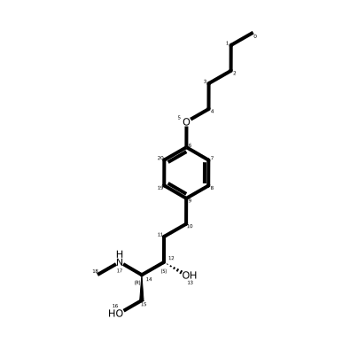 CCCCCOc1ccc(CC[C@H](O)[C@@H](CO)NC)cc1